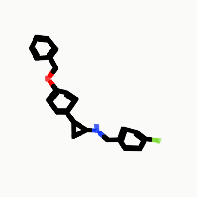 Fc1ccc(CNC2CC2c2ccc(OCc3ccccc3)cc2)cc1